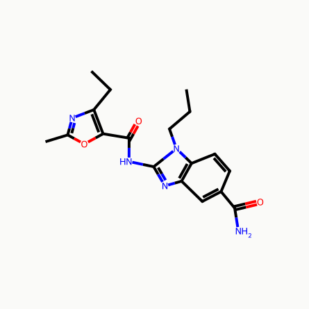 CCCn1c(NC(=O)c2oc(C)nc2CC)nc2cc(C(N)=O)ccc21